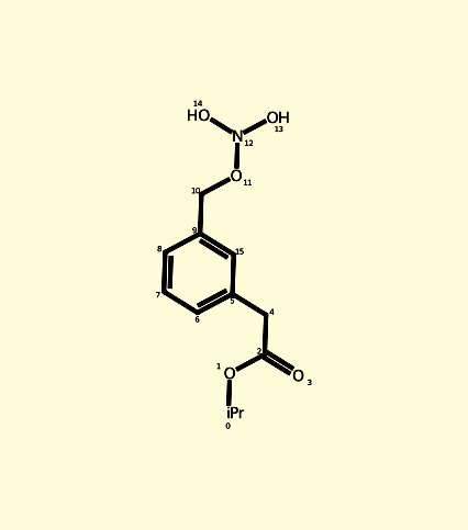 CC(C)OC(=O)Cc1cccc(CON(O)O)c1